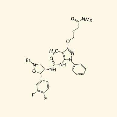 CCN1C[C@@H](NC(=O)Nc2c(C)c(OCCCC(=O)NC)nn2-c2ccccc2)[C@H](c2ccc(F)c(F)c2)O1